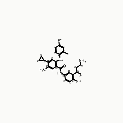 Cc1cc(F)ccc1Oc1cc(C2CC2)c(C(F)(F)F)cc1C(=O)Nc1ccc(F)c(C(C)CCN)c1